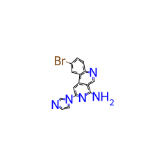 Nc1nc(-n2ccnc2)cc2c1cnc1ccc(Br)cc12